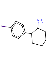 NC1CCCCC1c1ccc(I)cc1